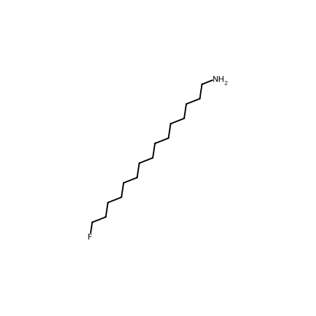 NCCCCCCCCCCCCCCCF